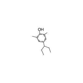 CCC(CC)c1cc(C)c(O)c(C)c1